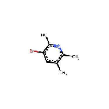 Cc1cc(Br)c(C#N)nc1C